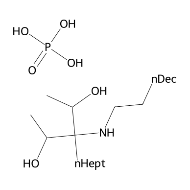 CCCCCCCCCCCCNC(CCCCCCC)(C(C)O)C(C)O.O=P(O)(O)O